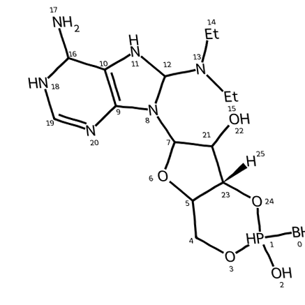 B[PH]1(O)OCC2OC(N3C4=C(NC3N(CC)CC)C(N)NC=N4)C(O)[C@@H]2O1